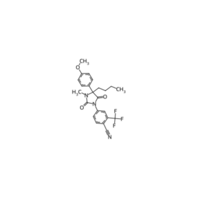 CCCCC1(c2ccc(OC)cc2)C(=O)N(c2ccc(C#N)c(C(F)(F)F)c2)C(=O)N1C